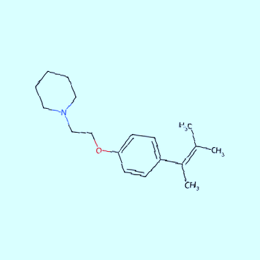 CC(C)=C(C)c1ccc(OCCN2CCCCC2)cc1